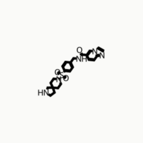 O=C(NCc1ccc(S(=O)(=O)N2CCC3(CCNC3)CC2)cc1)c1ccc2nccn2c1